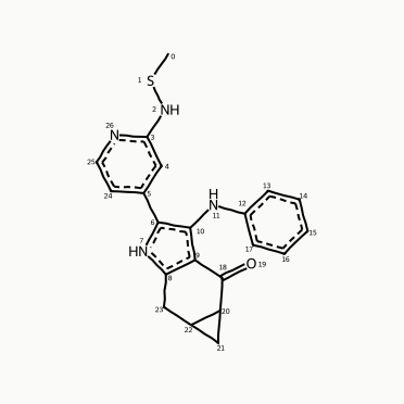 CSNc1cc(-c2[nH]c3c(c2Nc2ccccc2)C(=O)C2CC2C3)ccn1